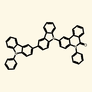 O=c1c2ccccc2c2cc(-n3c4ccccc4c4cc(-c5ccc6c(c5)c5ccccc5n6-c5ccccc5)ccc43)ccc2n1-c1ccccc1